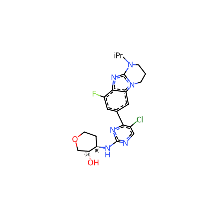 CC(C)N1CCCn2c1nc1c(F)cc(-c3nc(N[C@@H]4CCOC[C@H]4O)ncc3Cl)cc12